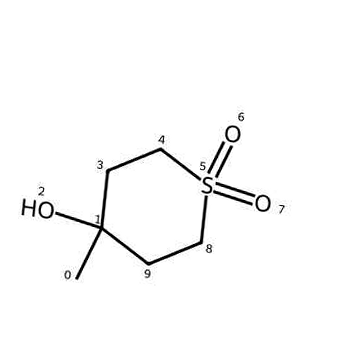 CC1(O)CCS(=O)(=O)CC1